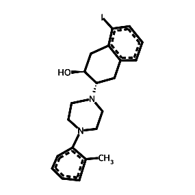 Cc1ccccc1N1CCN([C@H]2Cc3cccc(I)c3C[C@@H]2O)CC1